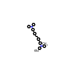 Cc1ccccc1N(c1ccc(-c2ccc(/C=C/c3ccc(-c4ccc(N(c5ccccc5)c5ccccc5)cc4)cc3)cc2)cc1)c1ccc(C(C)(C)C)cc1